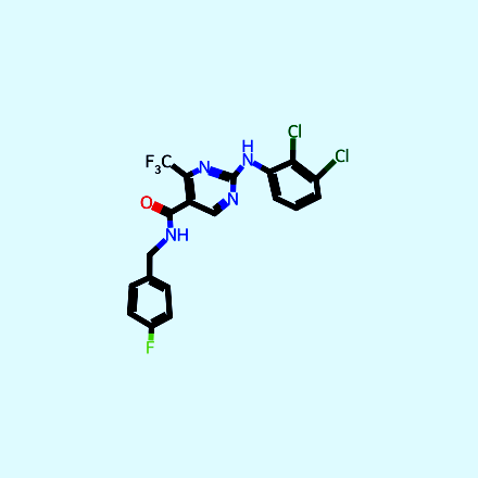 O=C(NCc1ccc(F)cc1)c1cnc(Nc2cccc(Cl)c2Cl)nc1C(F)(F)F